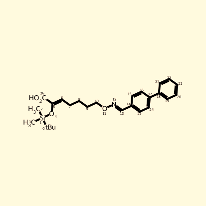 CC(C)(C)[Si](C)(C)O/C(=C\CCCCO/N=C/c1ccc(-c2ccccc2)cc1)C(=O)O